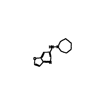 c1cc2ncc(NN3CCCCCC3)cc2o1